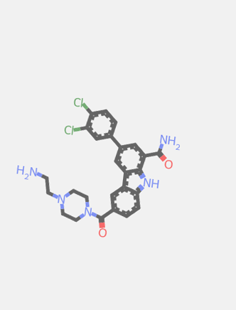 NCCN1CCN(C(=O)c2ccc3[nH]c4c(C(N)=O)cc(-c5ccc(Cl)c(Cl)c5)cc4c3c2)CC1